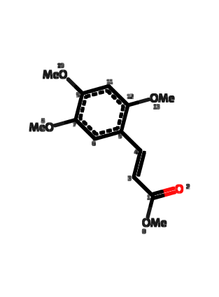 COC(=O)/C=C/c1cc(OC)c(OC)cc1OC